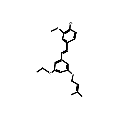 CCOc1cc(/C=C/c2ccc(O)c(OC)c2)cc(OCC=C(C)C)c1